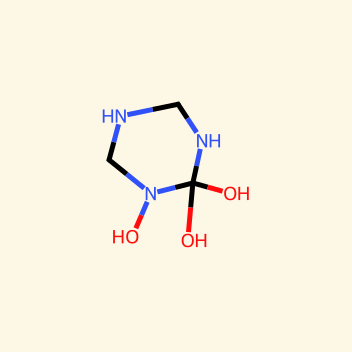 ON1CNCNC1(O)O